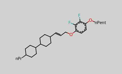 CCCCCOc1ccc(OC/C=C/C2CCC(C3CCC(CCC)CC3)CC2)c(F)c1F